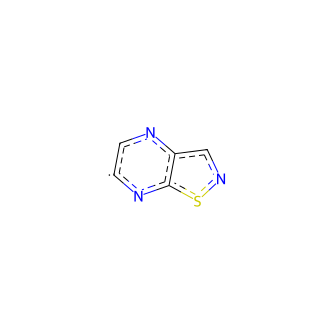 [c]1cnc2cnsc2n1